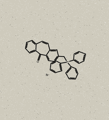 O=c1c2ccccc2ccc2cc(C[P+](c3ccccc3)(c3ccccc3)c3ccccc3)ccc12.[Br-]